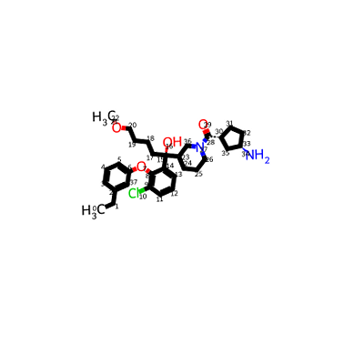 CCc1cccc(Oc2c(Cl)cccc2[C@](O)(CCCCOC)C2CCCN(C(=O)[C@@H]3CC[C@H](N)C3)C2)c1